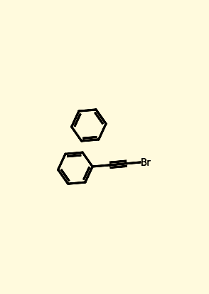 BrC#Cc1ccccc1.c1ccccc1